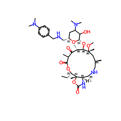 CC[C@@H]1OC(=O)C(C)C(=O)[C@H](C)[C@@H](O[C@@H]2O[C@H](CNCc3ccc(N(C)C)cc3)CC(N(C)C)C2O)[C@](C)(OC)C[C@@H](C)CN[C@H](C)[C@H]2NC(=O)O[C@]12C